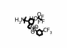 CC(C)(N)c1cccc2c1ccn2S(=O)(=O)c1cccc(C(F)(F)F)c1.O=C(O)C(F)(F)F